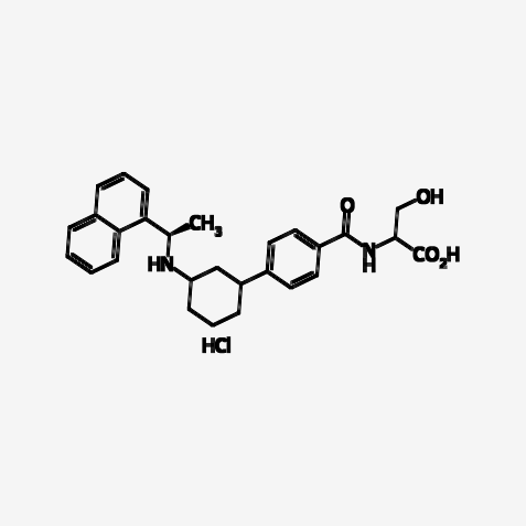 C[C@@H](NC1CCCC(c2ccc(C(=O)NC(CO)C(=O)O)cc2)C1)c1cccc2ccccc12.Cl